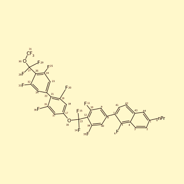 CCCc1ccc2c(F)c(-c3cc(F)c(C(F)(F)Oc4cc(F)c(-c5cc(F)c(C(F)(F)OC(F)(F)F)c(F)c5)c(F)c4)c(F)c3)ccc2c1